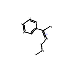 [CH2]/C(=C/CCC)c1ccccc1